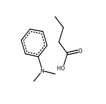 CCCC(=O)O.CN(C)c1ccccc1